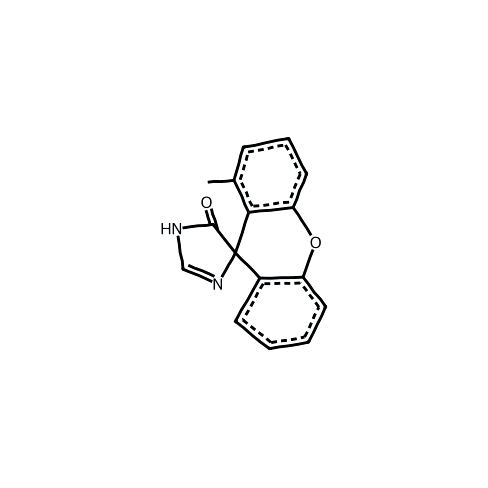 Cc1cccc2c1C1(N=CNC1=O)c1ccccc1O2